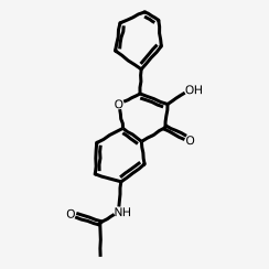 CC(=O)Nc1ccc2oc(-c3ccccc3)c(O)c(=O)c2c1